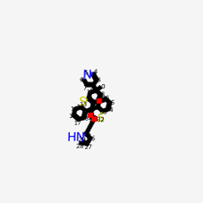 CC1(c2ccncc2)C=CC2=C(C1)SC1CC=CC=C1C21C2=C=CC(C3CC=CN3)=CC2SC2C=CC=CC21